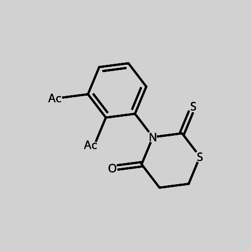 CC(=O)c1cccc(N2C(=O)CCSC2=S)c1C(C)=O